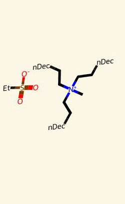 CCCCCCCCCCCC[N+](C)(CCCCCCCCCCCC)CCCCCCCCCCCC.CCS(=O)(=O)[O-]